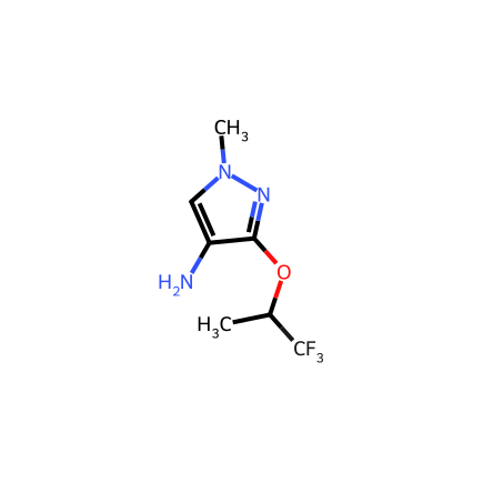 CC(Oc1nn(C)cc1N)C(F)(F)F